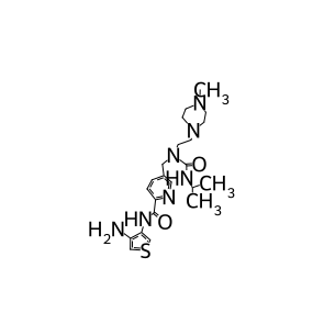 CC(C)NC(=O)N(CCN1CCN(C)CC1)Cc1ccc(C(=O)Nc2cscc2N)nc1